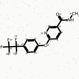 CNC(=O)c1ccc(Oc2ccc(C(F)(F)C(F)(F)F)cc2)nc1